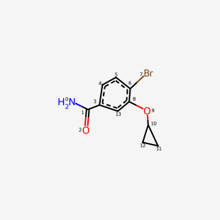 NC(=O)c1ccc(Br)c(OC2CC2)c1